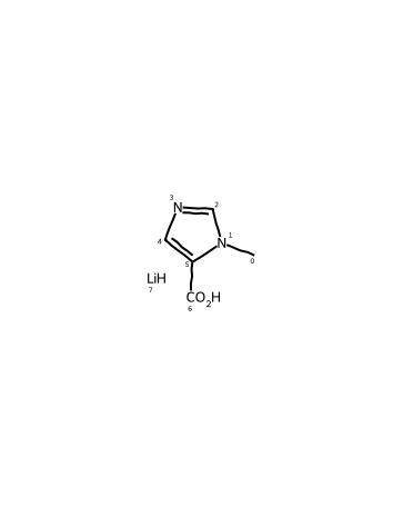 Cn1cncc1C(=O)O.[LiH]